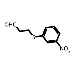 O=CCCSc1cccc([N+](=O)[O-])c1